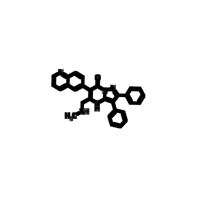 CNCc1[nH]c2c(-c3ccccc3)c(-c3ccccc3)nn2c(=O)c1-c1ccc2ncccc2c1